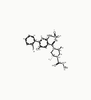 C[C@@H]1CN(C2=NS(=O)(=O)Nc3nc(-c4ccccc4F)c(Cl)cc32)[C@@H](C)CN1C(=O)OC(C)(C)C